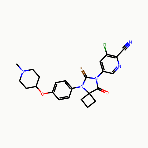 CN1CCC(Oc2ccc(N3C(=S)N(c4cnc(C#N)c(Cl)c4)C(=O)C34CCC4)cc2)CC1